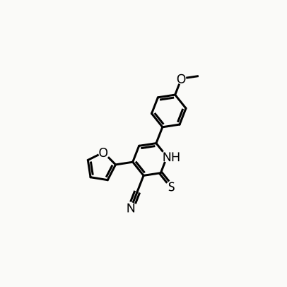 COc1ccc(-c2cc(-c3ccco3)c(C#N)c(=S)[nH]2)cc1